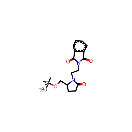 CC(C)(C)[Si](C)(C)OCC1CCC(=O)N1CCN1C(=O)c2ccccc2C1=O